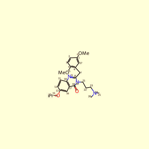 COc1ccc(OC)c(Cc2nc3ccc(OC(C)C)cc3c(=O)n2CCCN(C)C)c1